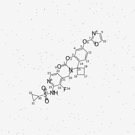 O=C1Oc2cc(Oc3ncco3)ccc2C2(CCC2)N1Cc1ccnc(NS(=O)(=O)C2CC2)c1F